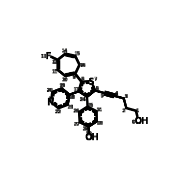 OCCCC#Cc1sc(C2=CC=C(F)C=CC2)c(-c2ccncc2)c1-c1ccc(O)cc1